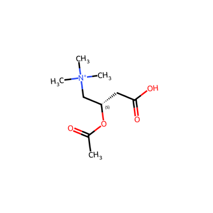 CC(=O)O[C@@H](CC(=O)O)C[N+](C)(C)C